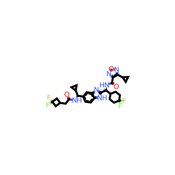 O=C(CC1CC(F)(F)C1)NC(c1ccc2[nH]c([C@@H](NC(=O)c3nonc3C3CC3)C3CCC(F)(F)CC3)nc2c1)C1CC1